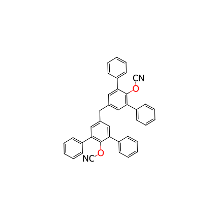 N#COc1c(-c2ccccc2)cc(Cc2cc(-c3ccccc3)c(OC#N)c(-c3ccccc3)c2)cc1-c1ccccc1